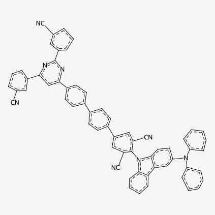 N#Cc1cccc(-c2cc(-c3ccc(-c4ccc(-c5cc(C#N)c(-n6c7ccccc7c7cc(N(c8ccccc8)c8ccccc8)ccc76)c(C#N)c5)cc4)cc3)nc(-c3cccc(C#N)c3)n2)c1